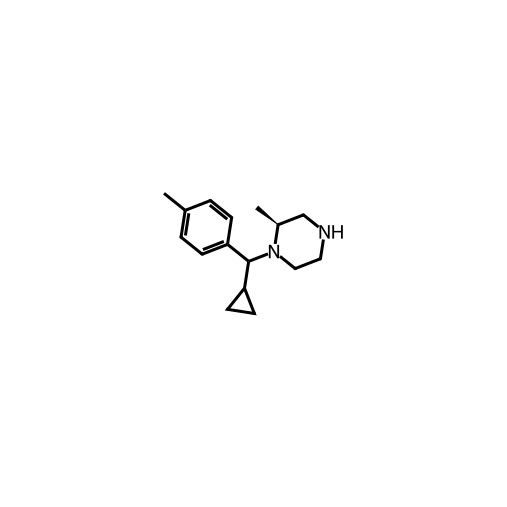 Cc1ccc(C(C2CC2)N2CCNC[C@@H]2C)cc1